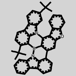 CC(C)(C)c1ccc2c3ccc(C(C)(C)C)c4c3n(c2c1)-c1c2c(cc3oc5ccccc5c13)-c1cccc3c5ccccc5n(c13)B24